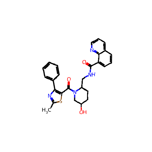 Cc1nc(-c2ccccc2)c(C(=O)N2CC(O)CCC2CNC(=O)c2cccc3cccnc23)s1